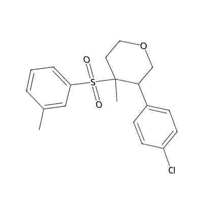 Cc1cccc(S(=O)(=O)C2(C)CCOCC2c2ccc(Cl)cc2)c1